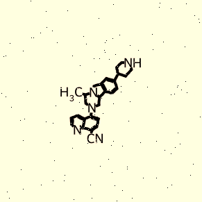 CC1CN(c2ccc(C#N)c3ncccc23)CC2c3ccc(C4CCNCC4)cc3CN12